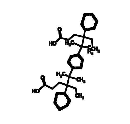 CCC(CCC(=O)O)(c1ccccc1)C(C)(C)c1ccc(C(C)(C)C(CC)(CCC(=O)O)c2ccccc2)cc1